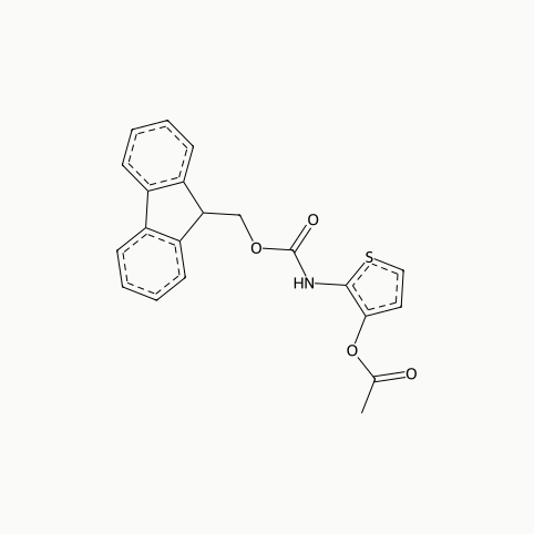 CC(=O)Oc1ccsc1NC(=O)OCC1c2ccccc2-c2ccccc21